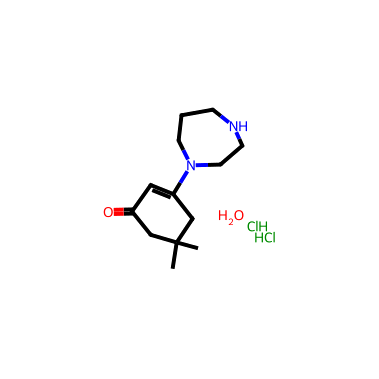 CC1(C)CC(=O)C=C(N2CCCNCC2)C1.Cl.Cl.O